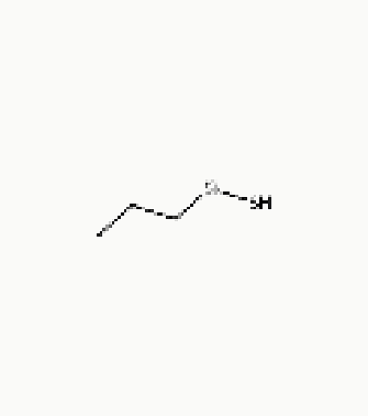 CCC[Si]S